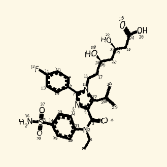 CCN(C(=O)c1nc(-c2ccc(F)cc2)n(CC[C@@H](O)C[C@@H](O)CC(=O)O)c1C(C)C)c1ccc(S(N)(=O)=O)cc1